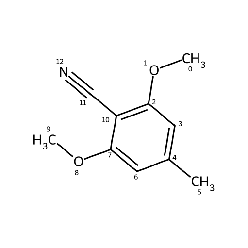 COc1cc(C)cc(OC)c1C#N